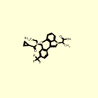 CCN(Cc1cc(C(F)(F)F)ccc1-c1cn(C(C)C(=O)O)c2cccc(Cl)c12)C(=O)C1CC1